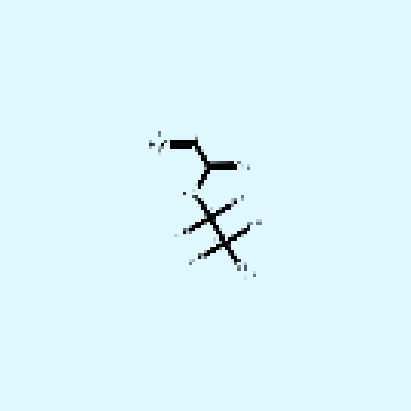 C=CC(=O)OC(F)(F)C(C)(F)F